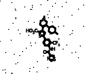 CC1CCC(C2=C(c3cc(-c4ccc(NC(=O)c5cscn5)c(C(F)(F)F)c4)sc3C(=O)O)CCN(C)C2)CC1